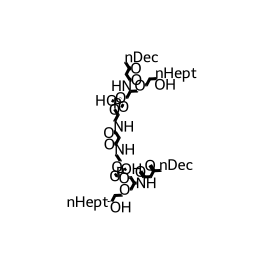 CCCCCCCCCCCC(=O)CC(=O)NC(COCC[C@H](O)CCCCCCC)COP(=O)(O)OCCNC(=O)CC(=O)NCCOP(=O)(O)OCC(COCC[C@H](O)CCCCCCC)NC(=O)CC(=O)CCCCCCCCCCC